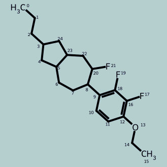 CCCC1CC2CCC(c3ccc(OCC)c(F)c3F)C(F)CC2C1